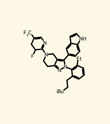 CCc1cccc(CCC(C)CC)c1-n1nc2c(c1-c1ccc3[nH]ccc3c1)CN(C1=NC=C(C(F)(F)F)CC1F)CC2